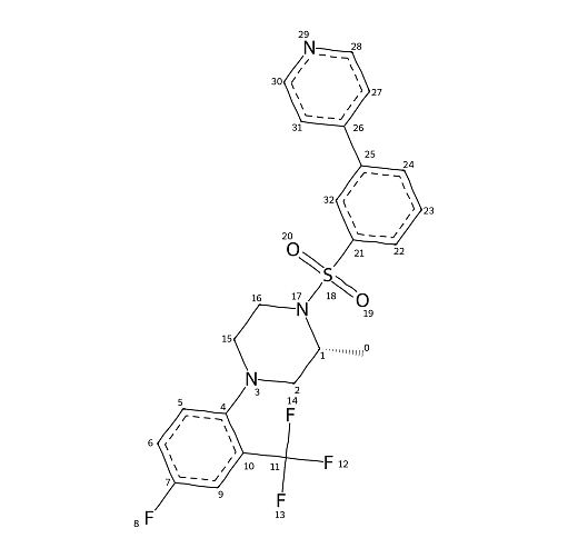 C[C@@H]1CN(c2ccc(F)cc2C(F)(F)F)CCN1S(=O)(=O)c1cccc(-c2ccncc2)c1